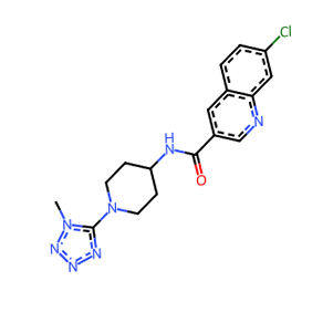 Cn1nnnc1N1CCC(NC(=O)c2cnc3cc(Cl)ccc3c2)CC1